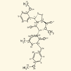 COC(=O)[C@@H]1CCC(c2ccccc2OC)N1C(=O)CNC(=O)C(Cc1ccc(OC)cc1)SC(C)=O